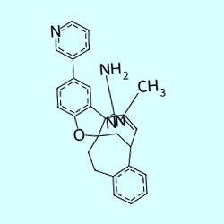 CN1C2=CC3CC4(CCc5ccccc53)Oc3ccc(-c5cccnc5)cc3C24N=C1N